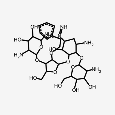 N=NC1CC(N)C(OC2OC(CO)C(O)C(O)C2N)C(OC2OC(CO)C(OC3OC(N)C(O)C(O)C3N)C2OCCc2ccccc2)C1O